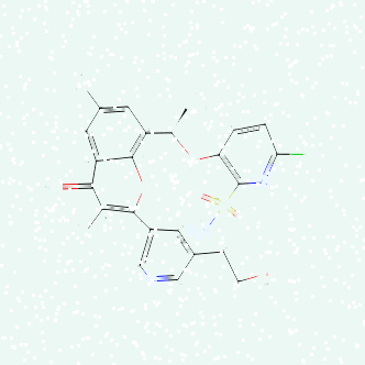 Cc1cc([C@@H](C)Oc2ccc(Cl)nc2S(N)(=O)=O)c2oc(-c3cncc(CCO)c3)c(C)c(=O)c2c1